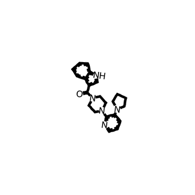 O=C(c1c[nH]c2ccccc12)N1CCN(c2ncccc2N2CCCC2)CC1